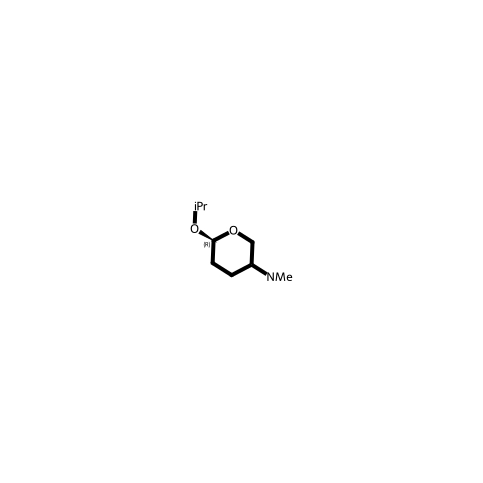 CNC1CC[C@@H](OC(C)C)OC1